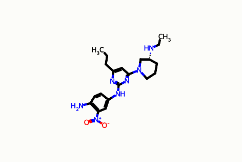 CCCc1cc(N2CCC[C@@H](NCC)C2)nc(Nc2ccc(N)c([N+](=O)[O-])c2)n1